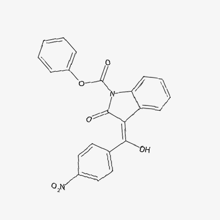 O=C(Oc1ccccc1)N1C(=O)C(=C(O)c2ccc([N+](=O)[O-])cc2)c2ccccc21